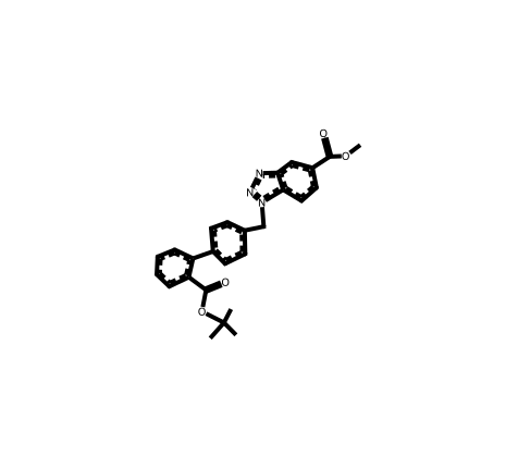 COC(=O)c1ccc2c(c1)nnn2Cc1ccc(-c2ccccc2C(=O)OC(C)(C)C)cc1